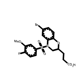 COc1cc(S(=O)(=O)N2CC(CCC(=O)O)Oc3ccc(Br)cc32)ccc1F